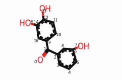 O=C(c1cccc(O)c1)c1ccc(O)c(O)c1